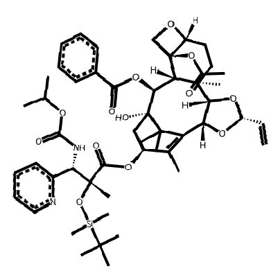 C=C[C@@H]1O[C@@H]2C3=C(C)[C@@H](OC(=O)[C@](C)(O[Si](C)(C)C(C)(C)C)[C@@H](NC(=O)OC(C)C)c4ccccn4)C[C@@](O)([C@@H](OC(=O)c4ccccc4)[C@H]4[C@@](C)(CC[C@H]5OC[C@]54OC(C)=O)[C@@H]2O1)C3(C)C